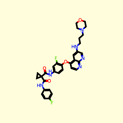 O=C(Nc1ccc(F)cc1)C1(C(=O)Nc2ccc(Oc3ccnc4ncc(NCCCN5CCOCC5)cc34)c(F)c2)CC1